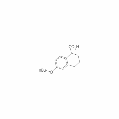 CCCCOc1ccc2c(c1)CCCC2C(=O)O